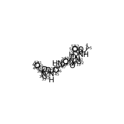 O=C(CC1CC1)N[C@@H](C(=O)N1CCC[C@H]1C(=O)Nc1ccc2[nH]c(-c3ccc(NC(=O)[C@@H]4CCCN4C(=O)Cc4ccccc4)cc3)cc2c1)c1ccccc1